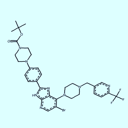 CC(C)(C)OC(=O)N1CCN(c2ccc(-c3nc4c(N5CCN(Cc6ccc(C(F)(F)F)nc6)CC5)c(Br)cnc4[nH]3)cc2)CC1